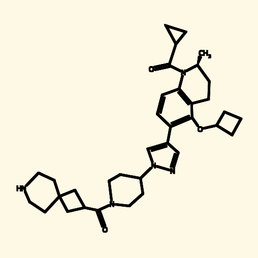 C[C@H]1CCc2c(ccc(-c3cnn(C4CCN(C(=O)C5CC6(CCNCC6)C5)CC4)c3)c2OC2CCC2)N1C(=O)C1CC1